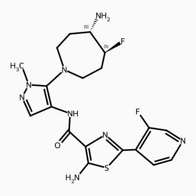 Cn1ncc(NC(=O)c2nc(-c3ccncc3F)sc2N)c1N1CC[C@H](N)[C@@H](F)CC1